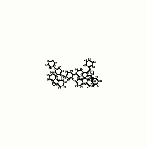 c1ccc(-c2ccc(N(c3ccc(-c4ccc5c(c4)C4(c6ccccc6-c6cncnc64)c4c(-c6ccccc6)oc(-c6ccccc6)c4-5)cc3)c3cccc4oc5ccccc5c34)cc2)cc1